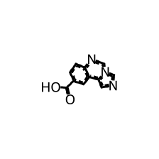 O=C(O)c1ccc2ncn3cncc3c2c1